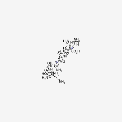 C[C@H](NC(=O)[C@@H](NC(=O)[C@@H](N)CCCCN)[C@@H](O)CN)C(=O)NCC(=O)/N=C(\CCCN)C(=O)N1CCC[C@H]1C(=O)NC(C(=O)N[C@@H](CCCCN)C(=O)N/C(=C\CCNC(=N)N)C(=O)O)c1cccs1